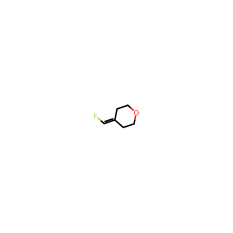 FC=C1CCOCC1